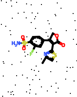 Cc1csc(C2=C(c3ccc(S(N)(=O)=O)c(F)c3)COC2=O)n1